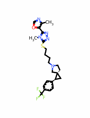 Cc1ncoc1-c1nnc(SCCCCN2CC[C@@]3(C[C@H]3c3ccc(C(F)(F)F)cc3)C2)n1C